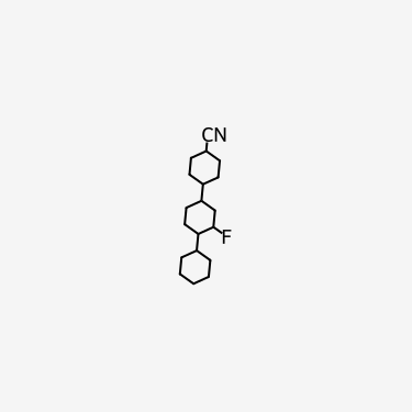 N#CC1CCC(C2CCC(C3CCCCC3)C(F)C2)CC1